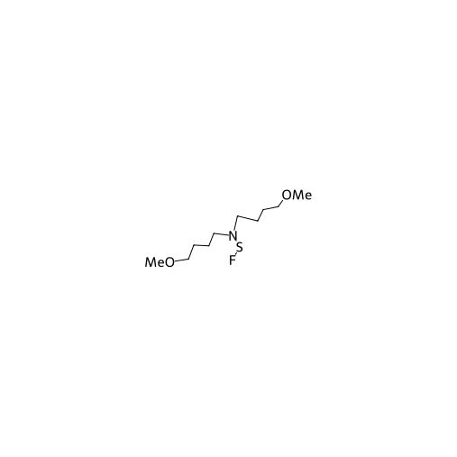 COCCCCN(CCCCOC)SF